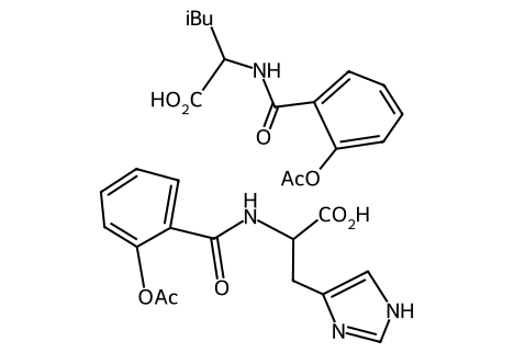 CC(=O)Oc1ccccc1C(=O)NC(Cc1c[nH]cn1)C(=O)O.CCC(C)C(NC(=O)c1ccccc1OC(C)=O)C(=O)O